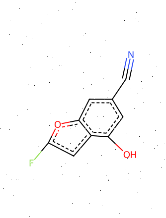 N#Cc1cc(O)c2cc(F)oc2c1